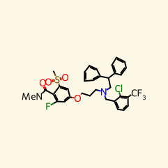 CNC(=O)c1c(F)cc(OCCCN(Cc2cccc(C(F)(F)F)c2Cl)CC(c2ccccc2)c2ccccc2)cc1S(C)(=O)=O